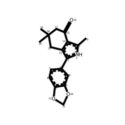 Cc1[nH]c(-c2ccc3c(c2)OCO3)c2c1C(=O)CC(C)(C)C2